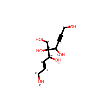 OCC#CC(O)C(O)(CO)C(O)C=CCO